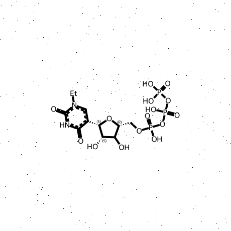 CCn1cc([C@@H]2O[C@H](COP(=O)(O)OP(=O)(O)OP(=O)(O)O)C(O)[C@@H]2O)c(=O)[nH]c1=O